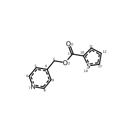 O=C(OCc1ccncc1)c1cccs1